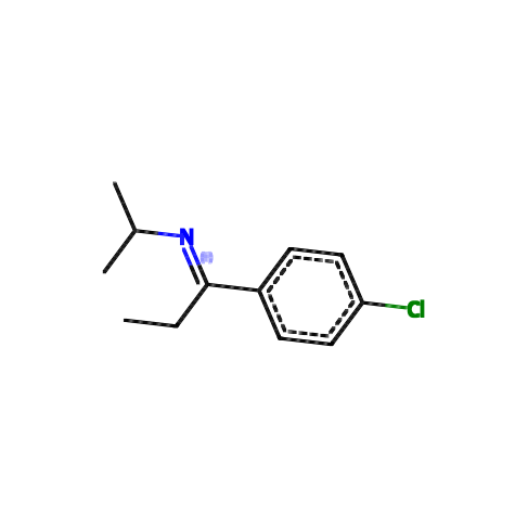 CC/C(=N\C(C)C)c1ccc(Cl)cc1